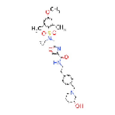 COc1cc(C)c(S(=O)(=O)N(Cc2nc(C(=O)NCCc3ccc(CN4CCCC(O)C4)cc3)co2)C2CC2)c(C)c1